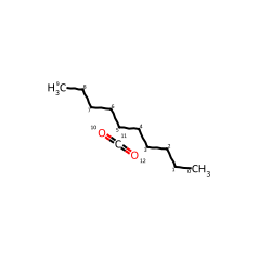 CCCCCCCCCC.O=C=O